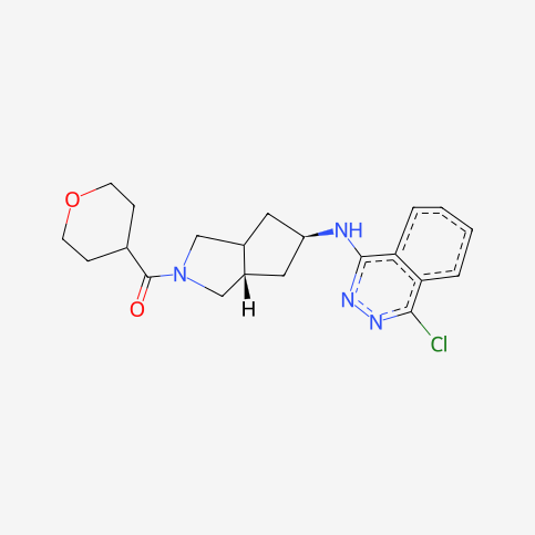 O=C(C1CCOCC1)N1CC2C[C@@H](Nc3nnc(Cl)c4ccccc34)C[C@@H]2C1